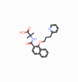 CC(C)(NC(=O)c1ccc2ccccc2c1OCCCc1ccccn1)C(=O)O